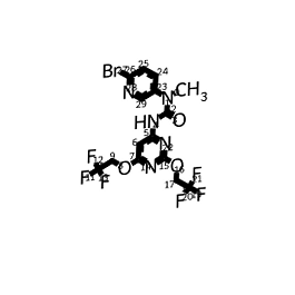 CN(C(=O)Nc1cc(OCC(F)(F)F)nc(OCC(F)(F)F)n1)c1ccc(Br)nc1